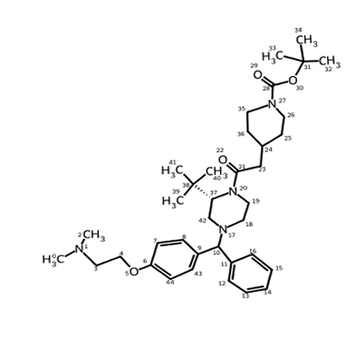 CN(C)CCOc1ccc(C(c2ccccc2)N2CCN(C(=O)CC3CCN(C(=O)OC(C)(C)C)CC3)[C@@H](C(C)(C)C)C2)cc1